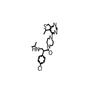 CC(C)NCC(C(=O)N1CCN(c2ncnc3c2C(C)SC3)CC1)c1ccc(Cl)cc1